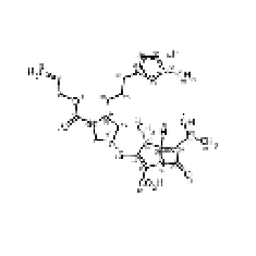 C=CCOC(=O)N1C[C@@H](SC2=C(C(=O)O)N3C(=O)[C@H]([C@@H](C)O)[C@H]3[C@H]2C)C[C@H]1CCC[n+]1ccn(C)c1.[I-]